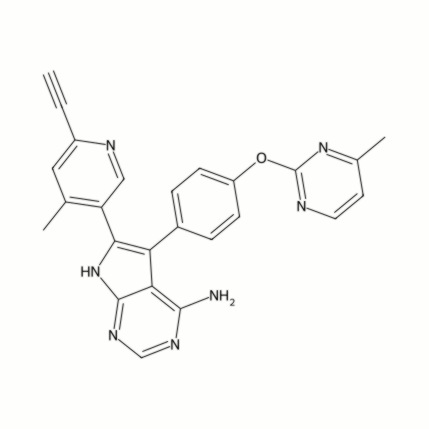 C#Cc1cc(C)c(-c2[nH]c3ncnc(N)c3c2-c2ccc(Oc3nccc(C)n3)cc2)cn1